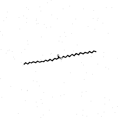 CCCCCCCCCCCCCCCCCC(=O)OCCCCCCCCCCCCCCCC